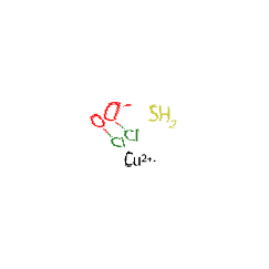 S.[Cu+2].[O-]Cl.[O-]Cl